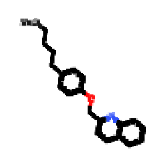 COCCCCc1ccc(OCc2ccc3ccccc3n2)cc1